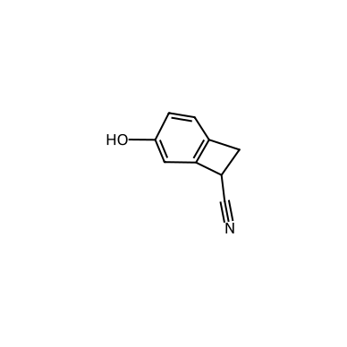 N#CC1Cc2ccc(O)cc21